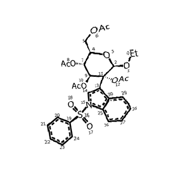 CCO[C@@H]1O[C@H](COC(C)=O)[C@@H](OC(C)=O)[C@H](OC(C)=O)[C@]1(OC(C)=O)c1cn(S(=O)(=O)c2ccccc2)c2ccccc12